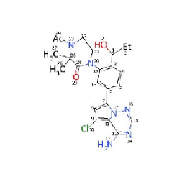 CCC(O)c1ccc(-c2cc(Cl)c3c(N)ncnn23)cc1N1CCN(C(C)=O)C(C)(C)C1=O